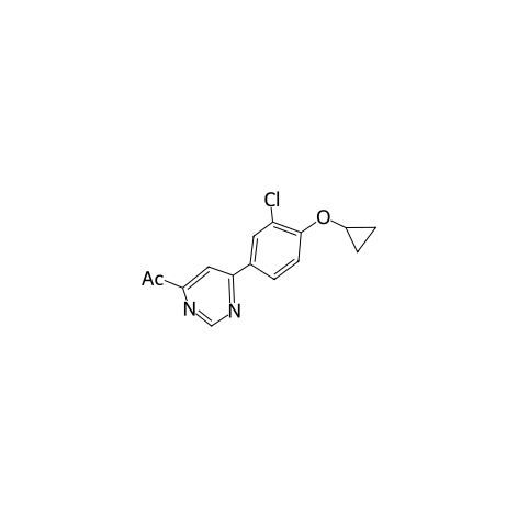 CC(=O)c1cc(-c2ccc(OC3CC3)c(Cl)c2)ncn1